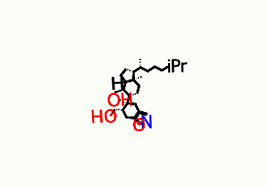 CC(C)CCC[C@@H](C)[C@H]1CC[C@H]2[C@H](CO)[C@@H]([C@@]3(C)Cc4cnoc4C[C@@H]3CO)CC[C@]12C